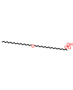 CCCCCCCCCCCCCCCCCCOCCCCCCCCCCCCCCCCCCC(C)OC(=O)O